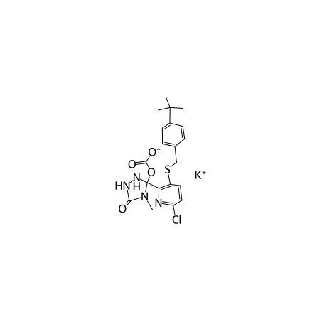 CN1C(=O)NNC1(OC(=O)[O-])c1nc(Cl)ccc1SCc1ccc(C(C)(C)C)cc1.[K+]